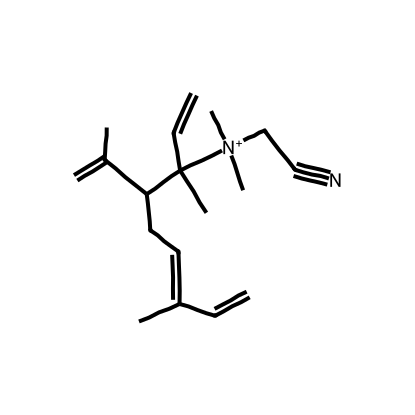 C=CC(C)=CCC(C(=C)C)C(C)(C=C)[N+](C)(C)CC#N